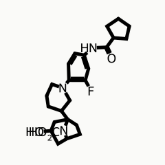 O=C(Nc1ccc(N2CCCC(C34CCC(CC(O)C3)N4C(=O)O)C2)c(F)c1)C1CCCC1